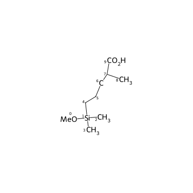 CO[Si](C)(C)CCCC(C)C(=O)O